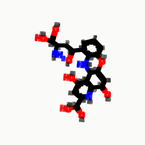 NC(CC(=O)c1cccc2c1NC1C(=CC(=O)c3nc(C(=O)O)cc(O)c31)O2)C(=O)O